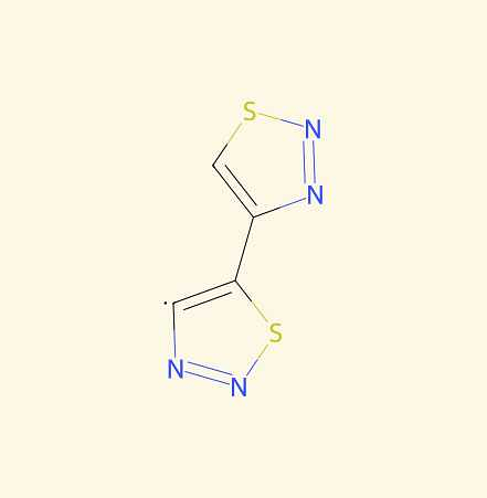 [c]1nnsc1-c1csnn1